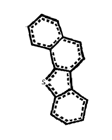 [c]1ccc2ccc3c4ccccc4sc3c2c1